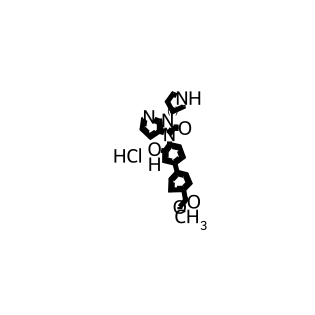 COC(=O)c1ccc(-c2ccc(-n3c(=O)n([C@H]4CCNC4)c4ncccc43)c(O)c2)cc1.Cl